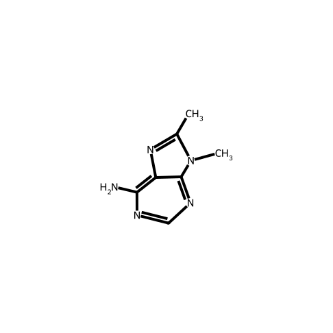 Cc1nc2c(N)ncnc2n1C